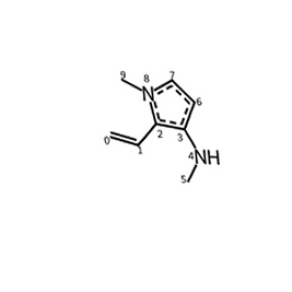 C=Cc1c(NC)ccn1C